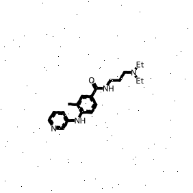 CCN(CC)CCCNC(=O)c1ccc(Nc2cccnc2)c(C)c1